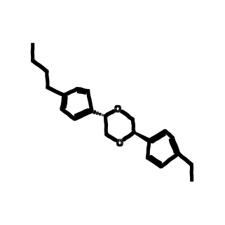 CCCCc1ccc([C@H]2CO[C@H](c3ccc(CC)cc3)CO2)cc1